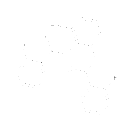 CCc1ccccc1C(C)Cc1cccc(O)c1CC(C)c1ccccc1CC